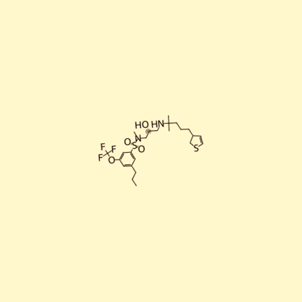 CCCc1cc(OC(F)(F)F)cc(S(=O)(=O)N(C)C[C@H](O)CNC(C)(C)CCCC2C=CSC2)c1